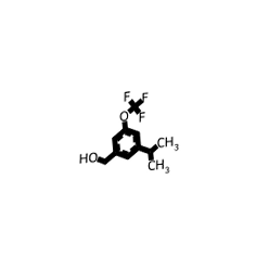 CC(C)c1cc(CO)cc(OC(F)(F)F)c1